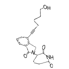 O=C1CCC(N2Cc3c(C#CCCCCO)cccc3C2=O)C(=O)N1